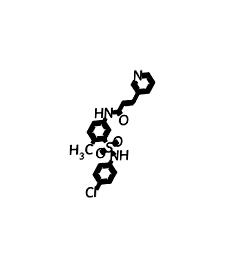 Cc1ccc(NC(=O)C=Cc2cccnc2)cc1S(=O)(=O)Nc1ccc(Cl)cc1